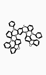 c1ccc(N2c3cc4c(cc3B3c5ccc6oc7ccccc7c6c5N(c5ccccc5)c5cccc2c53)B2c3ccc5oc6ccccc6c5c3N(c3ccccc3)c3cccc(c32)S4)cc1